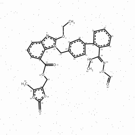 CCOc1nc2cccc(C(=O)OCc3oc(=O)oc3C)c2n1Cc1ccc(-c2ccccc2/C(=N/OC=O)NC)cc1